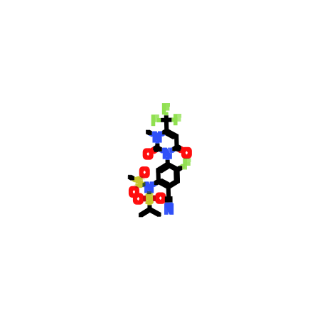 CC(C)S(=O)(=O)N(c1cc(-n2c(=O)cc(C(F)(F)F)n(C)c2=O)c(F)cc1C#N)S(C)(=O)=O